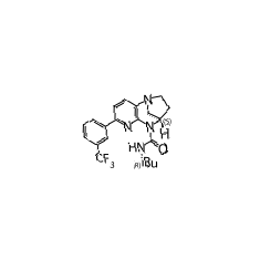 CC[C@@H](C)NC(=O)N1c2nc(-c3cccc(C(F)(F)F)c3)ccc2N2CC[C@H]1C2